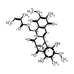 C/C=C(/C)C(=O)OC[C@H]1C2=C(C=C3C4c5c(O)c(OC)c(C)c(O)c5C(=O)C(C(=O)N31)N4C)C(=O)C(C)=C(OC)C2=O